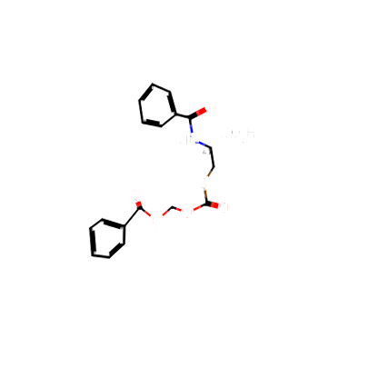 O=C(OCOC(=O)c1ccccc1)SC[C@H](NC(=O)c1ccccc1)C(=O)O